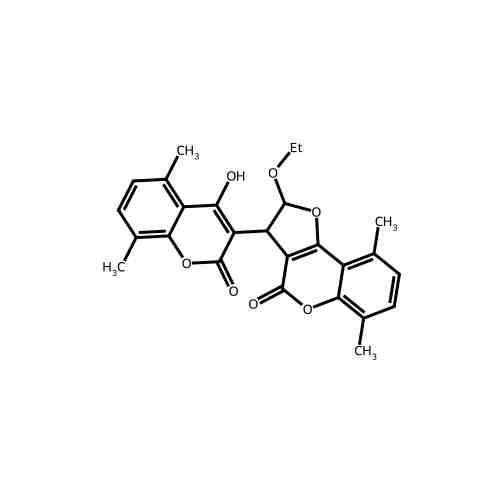 CCOC1Oc2c(c(=O)oc3c(C)ccc(C)c23)C1c1c(O)c2c(C)ccc(C)c2oc1=O